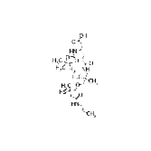 CCCNC(=O)CC(C)(S)COCC(C)(C)CNC(=O)CC[C@@H](CC(=O)O)NC(=O)OC(C)(C)C